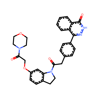 O=C(COc1ccc2c(c1)N(C(=O)Cc1ccc(-c3n[nH]c(=O)c4ccccc34)cc1)CC2)N1CCOCC1